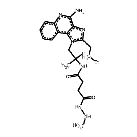 CCOCc1nc2c(N)nc3ccccc3c2n1CC(C)(C)NC(=O)CCC(=O)NNC(=O)O